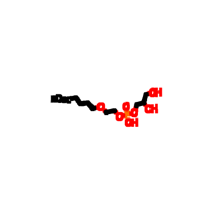 CCCCCCCCCCCCCCOCCOP(=O)(O)OCC(O)CO